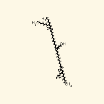 CCCCCCCC(=CC(=O)OCCCCCCCCCCCN(CCCO)CCCCCCCCCCCOC(=O)/C=C(\CCCC)CCCCCCC)CCCC